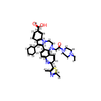 CCN1CCN(C(=O)CN2CCn3c(c(C4CCCCC4)c4ccc(C(=O)O)cc43)-c3ccc4nc(-c5sc(C)nc5C)ccc4c32)CC1